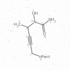 CCCCCCC#CC(C)N(O)C(N)=O